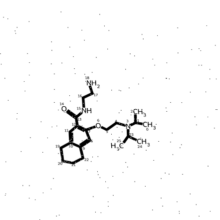 CC(C)N(CCOc1cc2c(cc1C(=O)NCCN)CCCC2)C(C)C